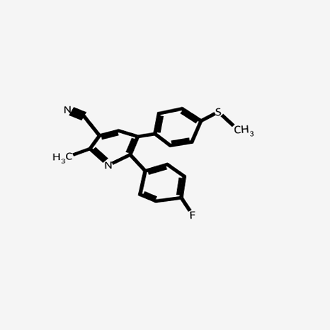 CSc1ccc(-c2cc(C#N)c(C)nc2-c2ccc(F)cc2)cc1